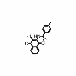 Cc1ccc(C(=O)NC2=C(Cl)C(=O)c3ccccc3C2=O)cc1